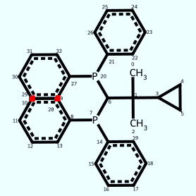 CC(C)(C1CC1)C(P(c1ccccc1)c1ccccc1)P(c1ccccc1)c1ccccc1